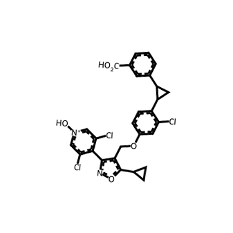 O=C(O)c1cccc(C2CC2c2ccc(OCc3c(-c4c(Cl)c[n+](O)cc4Cl)noc3C3CC3)cc2Cl)c1